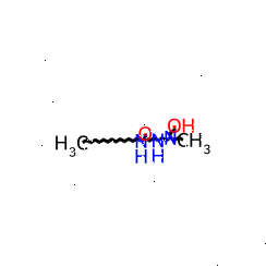 CCCCCCCCCCCCCCNC(=O)CCNCCN(CCC)CCO